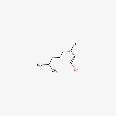 CC(C=CO)=CCCC(C)C